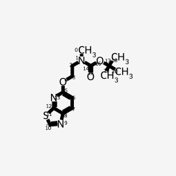 CN(CCOc1ccc2n[c]sc2n1)C(=O)OC(C)(C)C